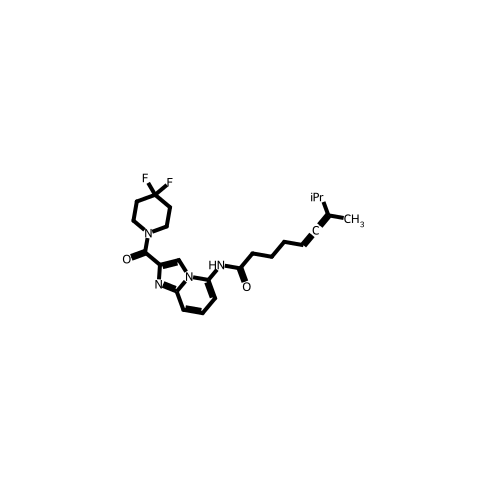 CC(=C=CCCCC(=O)Nc1cccc2nc(C(=O)N3CCC(F)(F)CC3)cn12)C(C)C